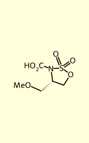 COC[C@H]1COS(=O)(=O)N1C(=O)O